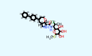 CSC1OC([C@H](NC(=O)[C@H]2NC[C@@H]3CC(c4ccc(-c5ccccc5)cc4)=CCO[C@H]32)[C@H](C)Cl)C(O)C(O)C1O